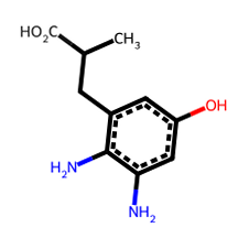 CC(Cc1cc(O)cc(N)c1N)C(=O)O